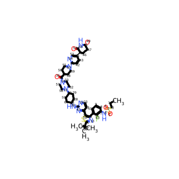 CCCS(=O)(=O)Nc1cccc(-c2nc(C(C)(C)C)sc2-c2ccnc(NC3CCC(N4CCN(C(=O)C5CCN(c6ccc([C@@H]7CCC(=O)NC7=O)cn6)CC5)CC4)CC3)n2)c1F